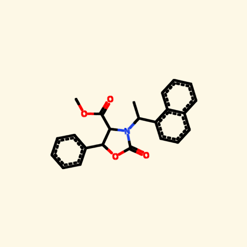 COC(=O)C1C(c2ccccc2)OC(=O)N1C(C)c1cccc2ccccc12